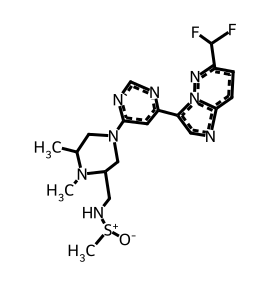 CC1CN(c2cc(-c3cnc4ccc(C(F)F)nn34)ncn2)CC(CN[S+](C)[O-])N1C